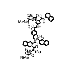 CN[C@@H](C)C(=O)N[C@H](C(=O)N1CC(NC(=O)c2ccc(CN(C(=O)[C@@H]3Cc4ccccc4CN3C(=O)[C@@H](NC(=O)[C@H](C)NC)C(C)(C)C)[C@H](C)c3ccc4ccccc4c3)cc2)CC1C(=O)N[C@@H]1CCCc2ccccc21)C(C)(C)C